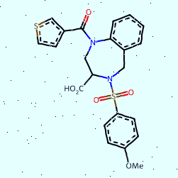 COc1ccc(S(=O)(=O)N2Cc3ccccc3N(C(=O)c3ccsc3)CC2C(=O)O)cc1